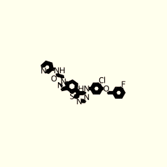 O=C(Cn1ncc2c1CCc1c-2sc2ncnc(Nc3ccc(OCc4cccc(F)c4)c(Cl)c3)c12)Nc1cccnc1